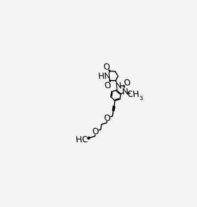 C#CCOCCCOCC#Cc1ccc2c(c1)n(C)c(=O)n2C1CCC(=O)NC1=O